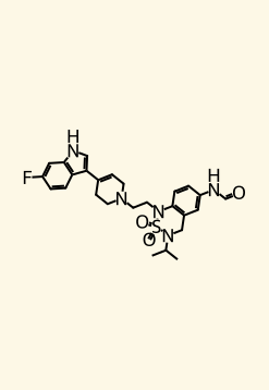 CC(C)N1Cc2cc(NC=O)ccc2N(CCN2CC=C(c3c[nH]c4cc(F)ccc34)CC2)S1(=O)=O